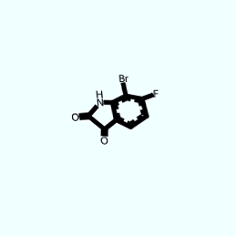 O=C1Nc2c(ccc(F)c2Br)C1=O